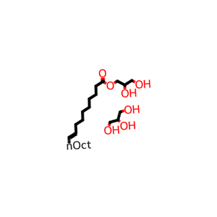 CCCCCCCCC=CCCCCCCCC(=O)OCC(O)CO.OCC(O)CO